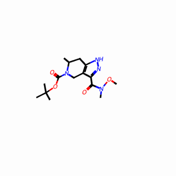 CON(C)C(=O)c1n[nH]c2c1CN(C(=O)OC(C)(C)C)C(C)C2